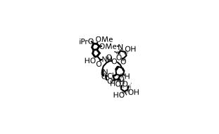 COc1c(OC(C)C)cc2cc(O)c(C(=O)NC3Cc4ccc(c(Cl)n4)O[C@H]4C=C5C#CC(=C[C@@H]6O[C@]56[C@@H]4O[C@H]4C[C@@](C)(O)[C@@H](O)[C@@H](C)O4)C(O[C@H]4C[C@H](O)[C@H](N(C)C)[C@H](C)O4)COC3=O)cc2c1OC